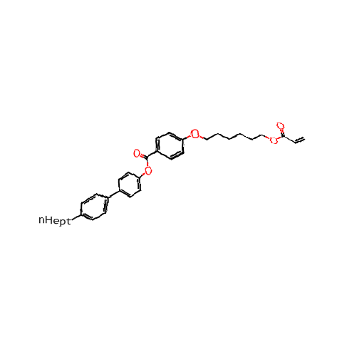 C=CC(=O)OCCCCCCOc1ccc(C(=O)Oc2ccc(-c3ccc(CCCCCCC)cc3)cc2)cc1